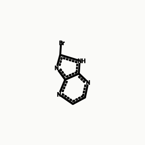 Brc1nc2nccnc2[nH]1